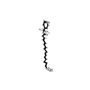 CCCCCCCCCCCCCCCCCCCCCCCCCC(=O)OC(C)(C)C1CCNCC1